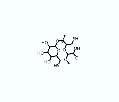 COC(OC(CS)[C@H](C)OC1OC(CS)C(O)C(O)C1O)C(O)O